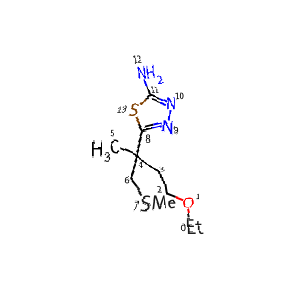 CCOCCC(C)(CSC)c1nnc(N)s1